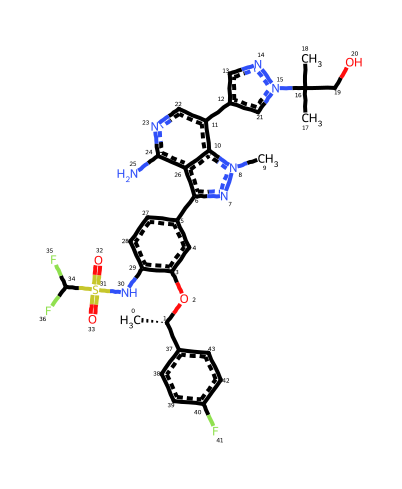 C[C@H](Oc1cc(-c2nn(C)c3c(-c4cnn(C(C)(C)CO)c4)cnc(N)c23)ccc1NS(=O)(=O)C(F)F)c1ccc(F)cc1